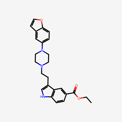 CCOC(=O)c1ccc2[nH]cc(CCN3CCN(c4ccc5occc5c4)CC3)c2c1